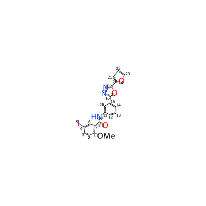 COc1ccc(I)cc1C(=O)Nc1cccc(-c2nnc(-c3ccco3)o2)c1